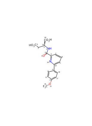 O=C(O)C[C@H](NC(=O)c1cccc(-c2ccc(OC(F)(F)F)cc2)n1)C(=O)O